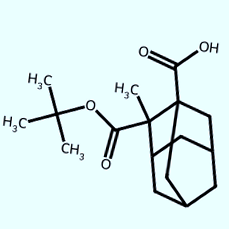 CC(C)(C)OC(=O)C1(C)C2CC3CC(C2)CC1(C(=O)O)C3